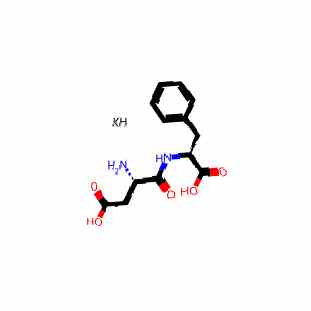 N[C@@H](CC(=O)O)C(=O)N[C@@H](Cc1ccccc1)C(=O)O.[KH]